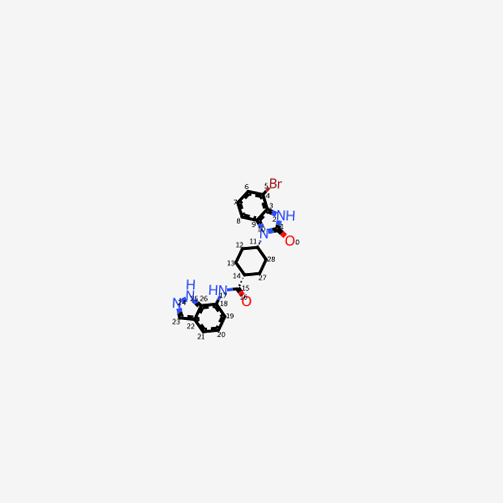 O=c1[nH]c2c(Br)cccc2n1[C@H]1CC[C@@H](C(=O)Nc2cccc3cn[nH]c23)CC1